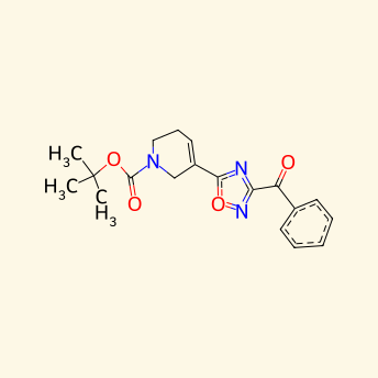 CC(C)(C)OC(=O)N1CCC=C(c2nc(C(=O)c3ccccc3)no2)C1